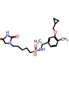 Cc1ccc([C@@H](C)NS(=O)(=O)CCCCCN2CC(=O)NC2=O)cc1OCC1CC1